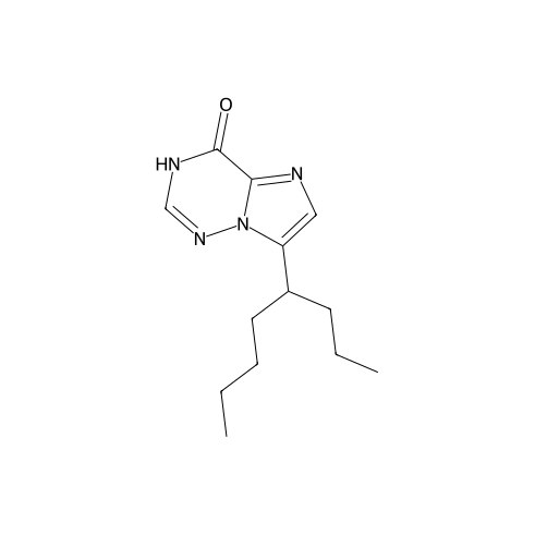 CCCCC(CCC)c1cnc2c(=O)[nH]cnn12